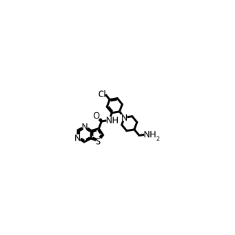 NCC1CCN(C2CC=C(Cl)C=C2NC(=O)c2csc3cncnc23)CC1